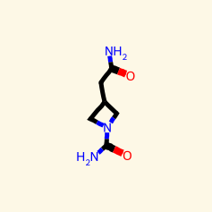 NC(=O)CC1CN(C(N)=O)C1